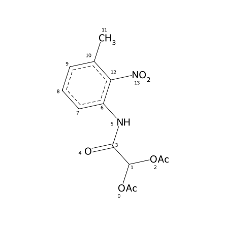 CC(=O)OC(OC(C)=O)C(=O)Nc1cccc(C)c1[N+](=O)[O-]